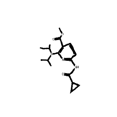 COC(=O)c1ccc(NC(=O)C2CC2)nc1N(C(C)C)C(C)C